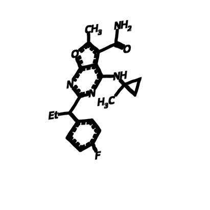 CCC(c1ccc(F)cc1)c1nc(NC2(C)CC2)c2c(C(N)=O)c(C)oc2n1